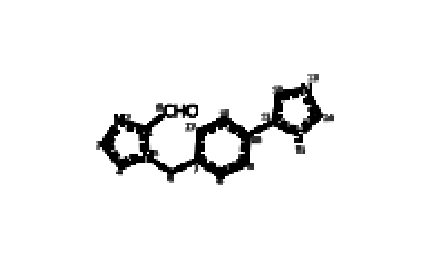 O=Cc1nc[c]n1Cc1ccc(-c2cncs2)cc1